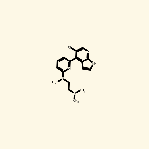 CN(C)CCN(C)c1cccc(-c2c(Cl)cnc3[nH]ccc23)n1